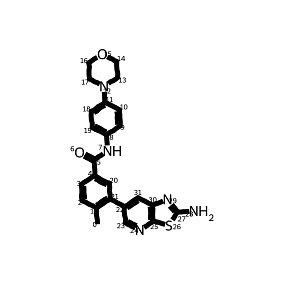 Cc1ccc(C(=O)Nc2ccc(N3CCOCC3)cc2)cc1-c1cnc2sc(N)nc2c1